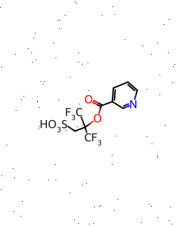 O=C(OC(CS(=O)(=O)O)(C(F)(F)F)C(F)(F)F)c1cccnc1